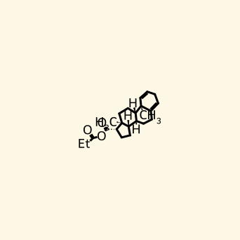 CCC(=O)OC(=O)[C@H]1CC[C@H]2[C@@H]3CCC4=CCC=C[C@]4(C)[C@H]3CC[C@]12C